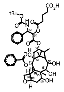 CC1C2[C@@H](O)[C@@H](O)[C@@]3(C)[C@@H]([C@@H]4CO[C@@H]4C[C@@H]3O)[C@H](OC(=O)c3ccccc3)[C@](O)(C[C@@H]1OC(=O)[C@H](OC(=O)CCCC(=O)O)[C@@H](NC(=O)OC(C)(C)C)c1ccccc1)C2(C)C